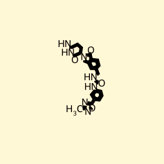 Cc1noc(-c2cccc(NC(=O)NCc3ccc4c(c3)CN(C3CCC(=N)NC3=O)C4=O)c2)n1